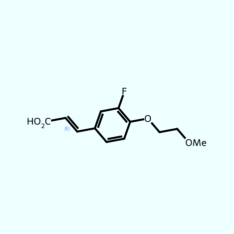 COCCOc1ccc(/C=C/C(=O)O)cc1F